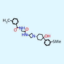 CSc1cccc([C@]2(O)CC[C@H](N3CC(NC(=O)CNC(=O)c4cccc(C)c4)C3)CC2)c1